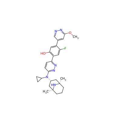 COc1cc(-c2cc(O)c(-c3ccc(N(C4CC4)[C@H]4C[C@]5(C)CCC[C@](C)(C4)N5)nn3)cc2F)cnn1